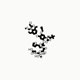 C#CCOc1cc(-n2nc(C(C)(C)C)oc2=O)c(Cl)cc1Cl.CC1(C)OC(c2ccco2)CN1C(=O)C(Cl)Cl.CCc1cccc(CC)c1N(COC)C(=O)CCl.O=C(O)CNCP(=O)(O)O